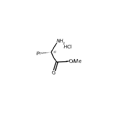 COC(=O)[C@@H](N)C(C)C.Cl